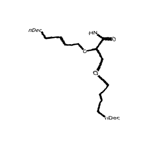 CCCCCCCCCCCCCCOCC(OCCCCCCCCCCCCCC)C([NH])=O